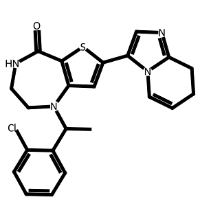 CC(c1ccccc1Cl)N1CCNC(=O)c2sc(-c3cnc4n3C=CCC4)cc21